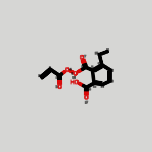 C=CC(=O)OOC(=O)c1c(CC)cccc1C(=O)O